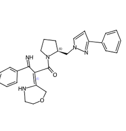 N=C(/C(C(=O)N1CCC[C@H]1Cn1ccc(-c2ccccc2)n1)=C1/COCCN1)c1ccccc1